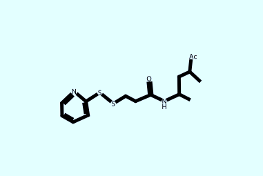 CC(=O)C(C)CC(C)NC(=O)CCSSc1ccccn1